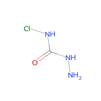 NNC(=O)NCl